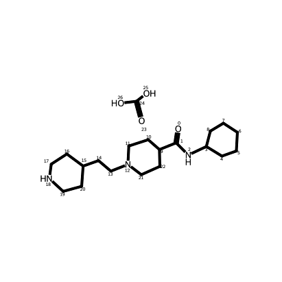 O=C(NC1CCCCC1)C1CCN(CCC2CCNCC2)CC1.O=C(O)O